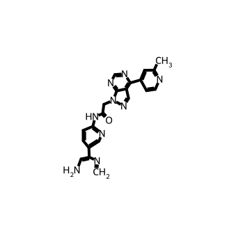 C=N/C(=C\N)c1ccc(NC(=O)Cn2ncc3c(-c4ccnc(C)c4)ncnc32)nc1